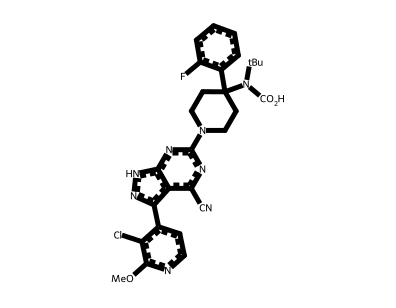 COc1nccc(-c2n[nH]c3nc(N4CCC(c5ccccc5F)(N(C(=O)O)C(C)(C)C)CC4)nc(C#N)c23)c1Cl